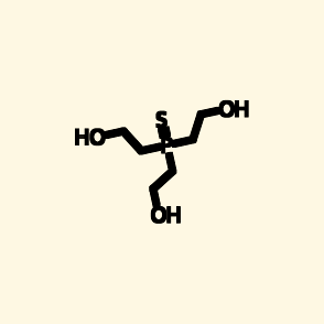 OCCP(=S)(CCO)CCO